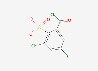 O=C(Cl)c1cc(Cl)cc(Cl)c1S(=O)(=O)O